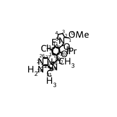 COCC1CCCN1C(=O)c1c(F)c(Cl)cc([C@H](C)c2nc(C)c3c(N)nccn23)c1OC(C)C